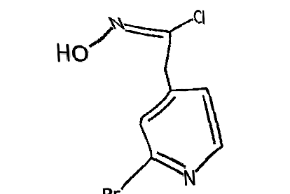 O/N=C(/Cl)c1ccnc(Br)c1